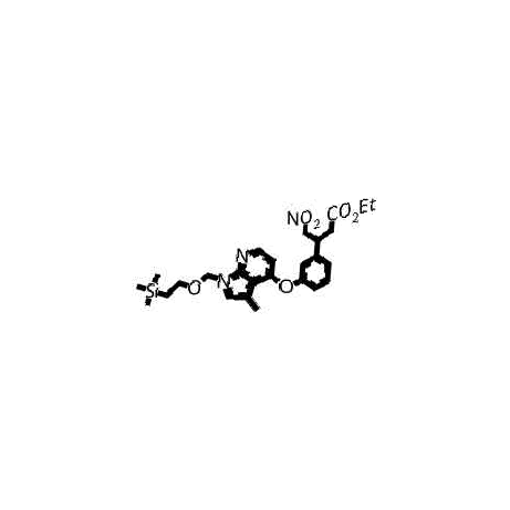 CCOC(=O)CC(C[N+](=O)[O-])c1cccc(Oc2ccnc3c2c(C)cn3COCC[Si](C)(C)C)c1